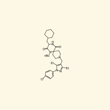 CCCCN1C(=O)C(CC2CCCCC2)NC(=O)C12CCN(Cc1c(CC)nn(-c3ccc(Cl)cc3)c1CC)CC2